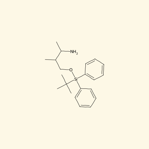 CC(N)C(C)CO[Si](c1ccccc1)(c1ccccc1)C(C)(C)C